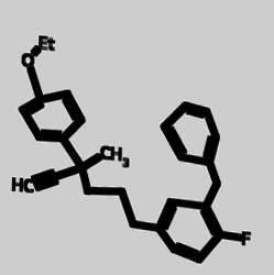 C#CC(C)(CCCc1ccc(F)c(Cc2ccccc2)c1)c1ccc(OCC)cc1